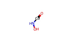 [O]=[Ga][NH]O